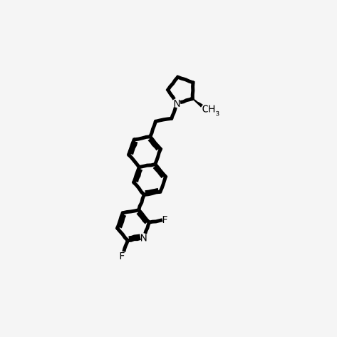 C[C@@H]1CCCN1CCc1ccc2cc(-c3ccc(F)nc3F)ccc2c1